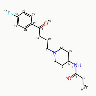 CC(C)CC(=O)NC1CCN(CCCC(=O)c2ccc(F)cc2)CC1